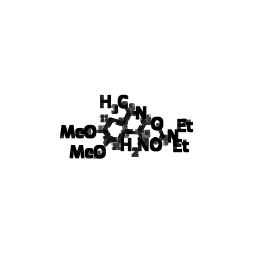 CCN(CC)C(=O)Oc1nc(C)c2cc(OC)c(OC)cc2c1N